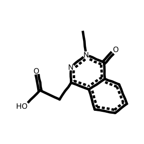 Cn1nc(CC(=O)O)c2ccccc2c1=O